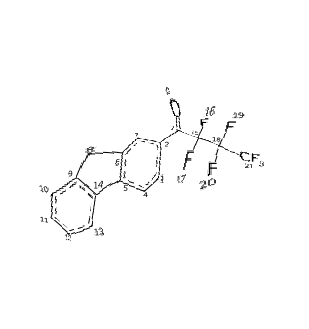 O=C(c1ccc2c(c1)Cc1ccccc1-2)C(F)(F)C(F)(F)C(F)(F)F